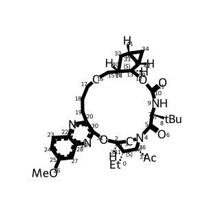 CC[C@@H]1[C@@H]2CN(C(=O)[C@H](C(C)(C)C)NC(=O)O[C@H]3[C@H](CCCCCc4nc5ccc(OC)cc5nc4O2)C[C@@H]2C[C@@H]23)[C@@H]1C(C)=O